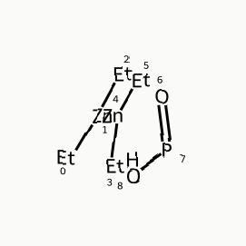 C[CH2][Zn][CH2]C.C[CH2][Zn][CH2]C.O=PO